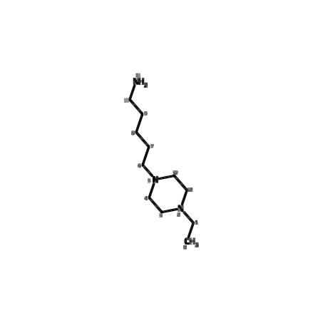 CCN1CCN(CCCCCN)CC1